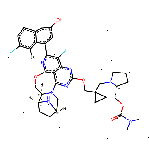 CCc1c(F)ccc2cc(O)cc(-c3nc4c5c(nc(OCC6(CN7CCC[C@@H]7COC(=O)N(C)C)CC6)nc5c3F)N3C[C@H]5CC[C@H](N5)[C@H]3CO4)c12